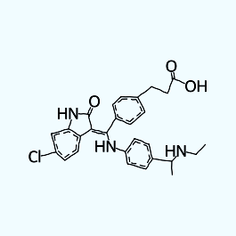 CCNC(C)c1ccc(NC(=C2C(=O)Nc3cc(Cl)ccc32)c2ccc(CCC(=O)O)cc2)cc1